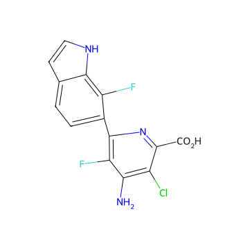 Nc1c(F)c(-c2ccc3cc[nH]c3c2F)nc(C(=O)O)c1Cl